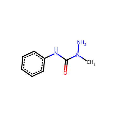 CN(N)C(=O)Nc1ccccc1